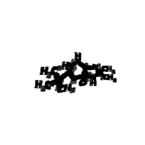 CC1(C)N=C2NNC(C(C)(C)C)C[N+]2([O-])N1